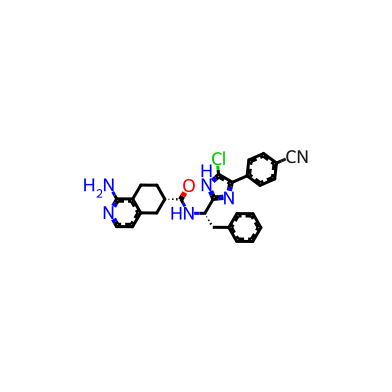 N#Cc1ccc(-c2nc([C@H](Cc3ccccc3)NC(=O)[C@H]3CCc4c(ccnc4N)C3)[nH]c2Cl)cc1